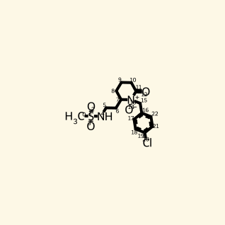 CS(=O)(=O)NCCC1CCCC(=O)[N+]1([O-])Cc1ccc(Cl)cc1